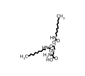 CCCCCCCCCCNC(=O)OC[C@H](CSCC(N)C(=O)O)OC(=O)NCCCCCCCCCC